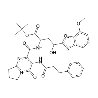 COc1cccc2nc(C(O)CC(NC(=O)c3nc4n(c(=O)c3NC(=O)CCc3ccccc3)CCC4)C(=O)OC(C)(C)C)oc12